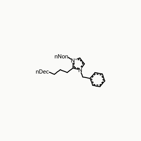 CCCCCCCCCCCCCc1n(Cc2ccccc2)cc[n+]1CCCCCCCCC